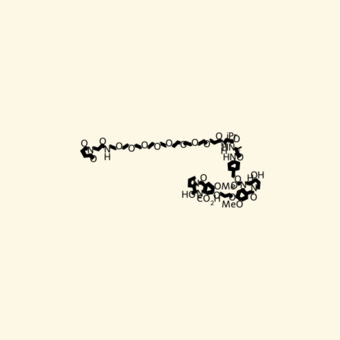 COc1cc2c(cc1OCCCOc1cc3c(cc1OC)C(=O)N1CCCC1C(O)N3C(=O)O)N(C(=O)OCc1ccc(NC(=O)[C@H](C)NC(=O)[C@@H](NC(=O)CCOCCOCCOCCOCCOCCOCCOCCOCCNC(=O)CCN3C(=O)C=CC3=O)C(C)C)cc1)C[C@H]1C(O)CCN1C2=O